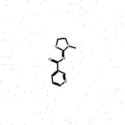 CN1CCS/C1=N\C(=O)c1cccnc1